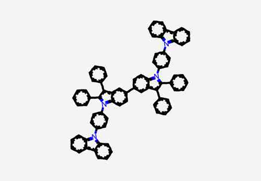 c1ccc(-c2c(-c3ccccc3)n(-c3ccc(-n4c5ccccc5c5ccccc54)cc3)c3ccc(-c4ccc5c(c4)c(-c4ccccc4)c(-c4ccccc4)n5-c4ccc(-n5c6ccccc6c6ccccc65)cc4)cc23)cc1